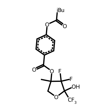 CCC(C)C(=O)Oc1ccc(C(=O)OC2(C)COC(O)(C(F)(F)F)C2(F)F)cc1